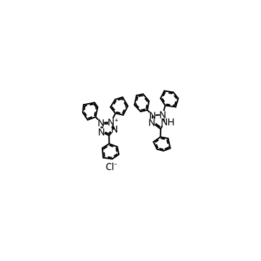 [Cl-].c1ccc(-c2nn(-c3ccccc3)[n+](-c3ccccc3)n2)cc1.c1ccc(C2=NN(c3ccccc3)N(c3ccccc3)N2)cc1